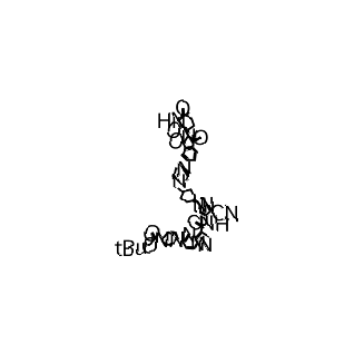 CC(C)(C)OC(=O)N1CCN(c2ccn3ncc(C(=O)Nc4cn(C5CCC(CN6CCN(c7ccc8c(c7)C(=O)N(C7CCC(=O)NC7=O)C8=O)CC6)CC5)nc4C#N)c3n2)CC1